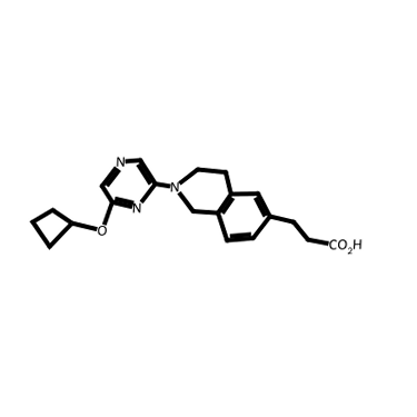 O=C(O)CCc1ccc2c(c1)CCN(c1cncc(OC3CCC3)n1)C2